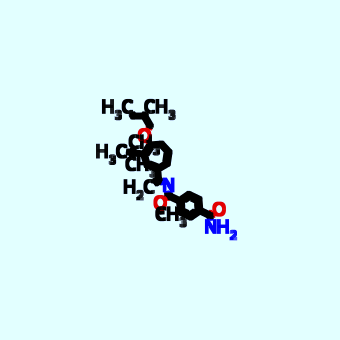 C=C(/N=C(\OC)c1ccc(C(N)=O)cc1)C1=CC(C(C)(C)C)=C(OCC(C)CC)CC=C1